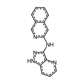 c1ccc2cc(Nc3n[nH]c4cccnc34)ncc2c1